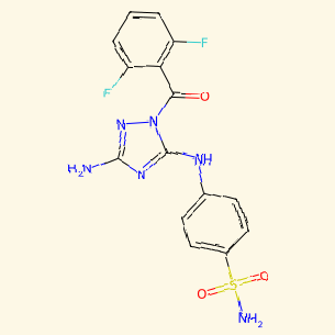 Nc1nc(Nc2ccc(S(N)(=O)=O)cc2)n(C(=O)c2c(F)cccc2F)n1